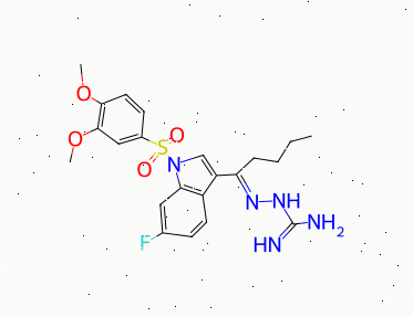 CCCCC(=NNC(=N)N)c1cn(S(=O)(=O)c2ccc(OC)c(OC)c2)c2cc(F)ccc12